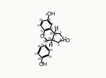 [O-][S@@+]1C[C@H]2[C@@H](C1)c1cc(O)ccc1O[C@H]2c1ccc(O)cc1